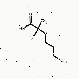 CCCCOC(C)(C)C([NH])=O